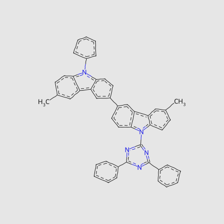 Cc1ccc2c(c1)c1cc(-c3ccc4c(c3)c3cc(C)ccc3n4-c3nc(-c4ccccc4)nc(-c4ccccc4)n3)ccc1n2-c1ccccc1